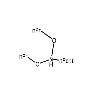 [CH2]CCCC[SiH](OCCC)OCCC